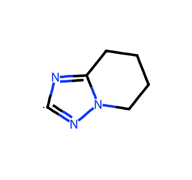 [c]1nc2n(n1)CCCC2